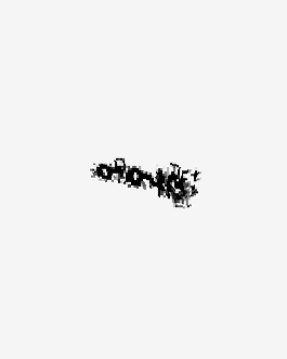 CCn1c(=O)c2c(nc(C=Cc3ccc(OC(=O)c4ccccc4)cc3)n2C)n(CC)c1=O